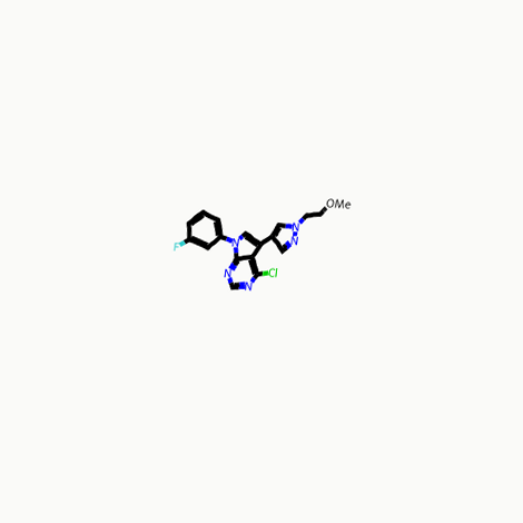 COCCn1cc(-c2cn(-c3cccc(F)c3)c3ncnc(Cl)c23)cn1